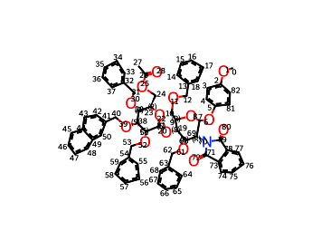 COc1ccc(OC2O[C@H](COCc3ccccc3)[C@@H](O[C@@H]3O[C@H](COC(C)=O)[C@@H](OCc4ccccc4)[C@H](OCc4ccc5ccccc5c4)[C@@H]3OCc3ccccc3)[C@H](OCc3ccccc3)[C@H]2N2C(=O)c3ccccc3C2=O)cc1